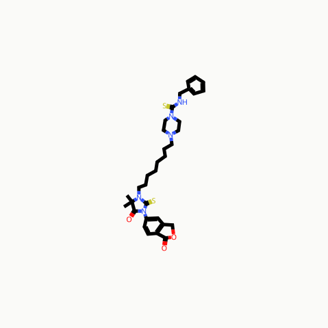 CC1(C)C(=O)N(c2ccc3c(c2)COC3=O)C(=S)N1CCCCCCCCN1CCN(C(=S)NCc2ccccc2)CC1